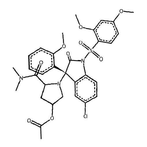 COc1ccc(S(=O)(=O)N2C(=O)[C@@](c3ccccc3OC)(N3CC(OC(C)=O)CC3C(=O)N(C)C)c3cc(Cl)ccc32)c(OC)c1